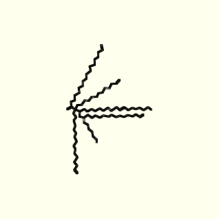 C=CCCCCCCCCCCCCCCCC(=C)C(CCCCCCCCCCCC=C)(CCCCCCCCCCCCCCC=C)C(CCCCCCCCCC=CCCCCCCC)CC(CCCCCCC)CCCCCCCCCCCCCC=C